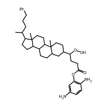 CC(C)CCCC(C)C1CCC2C3CCC4CC(C(CCC(=O)Oc5cc(N)ccc5N)OO)CCC4(C)C3CCC12C